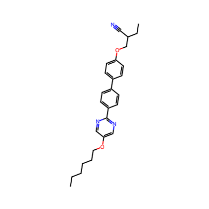 CCCCCCOc1cnc(-c2ccc(-c3ccc(OCC(C#N)CC)cc3)cc2)nc1